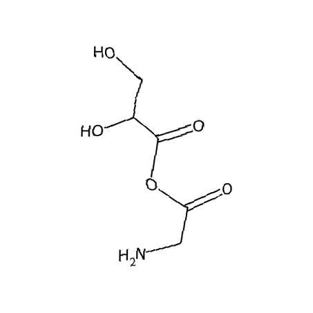 NCC(=O)OC(=O)C(O)CO